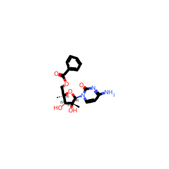 C[C@]1(O)[C@H](n2ccc(N)nc2=O)O[C@](C)(COC(=O)c2ccccc2)[C@H]1O